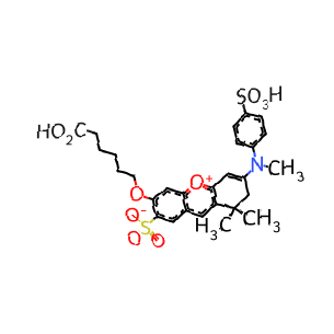 CN(C1=Cc2[o+]c3cc(OCCCCCC(=O)O)c(S(=O)(=O)[O-])cc3cc2C(C)(C)C1)c1ccc(S(=O)(=O)O)cc1